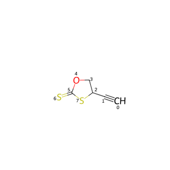 C#CC1COC(=S)S1